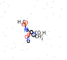 C[C@H]1CCc2c(ccc(-c3cnn(CCS(C)(=O)=O)c3)c2OCC(=O)N2CCCC2)N1C(=O)O